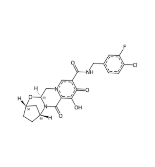 O=C(NCc1ccc(Cl)c(F)c1)c1cn2c(c(O)c1=O)C(=O)N1[C@@H]3CC[C@@H](C3)O[C@H]1C2